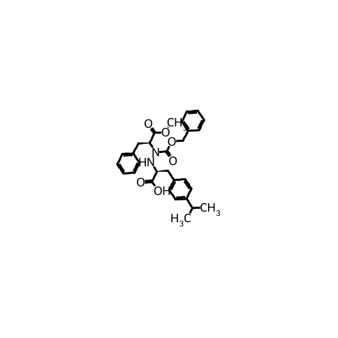 COC(=O)[C@H](Cc1ccccc1)N(N[C@@H](Cc1ccc(C(C)C)cc1)C(=O)O)C(=O)OCc1ccccc1